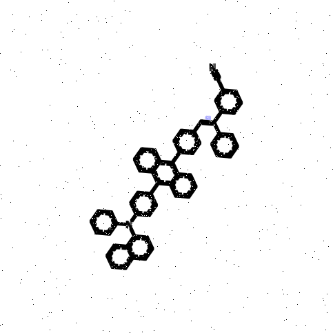 N#Cc1cccc(/C(=C/c2ccc(-c3c4ccccc4c(-c4ccc(N(c5ccccc5)c5cccc6ccccc56)cc4)c4ccccc34)cc2)c2ccccc2)c1